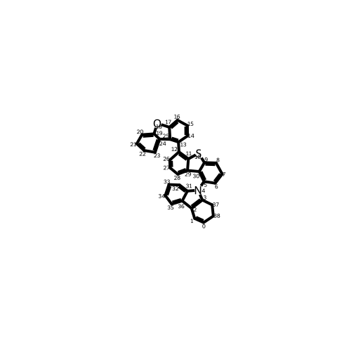 C1=Cc2c(n(-c3cccc4sc5c(-c6cccc7oc8ccccc8c67)cccc5c34)c3ccccc23)CC1